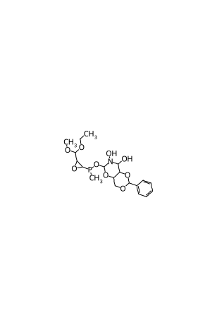 CCOC(OC)C1OC1P(C)OC1OC2COC(c3ccccc3)OC2C(O)N1O